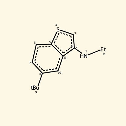 CCNc1csc2ccc(C(C)(C)C)cc12